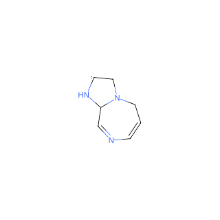 [C]1CN2CC=CN=CC2N1